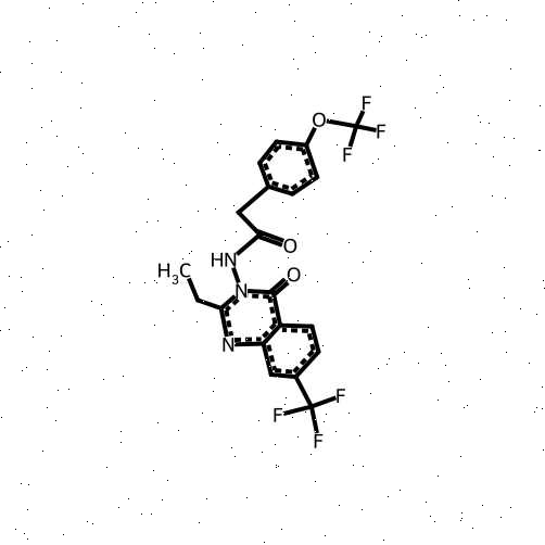 CCc1nc2cc(C(F)(F)F)ccc2c(=O)n1NC(=O)Cc1ccc(OC(F)(F)F)cc1